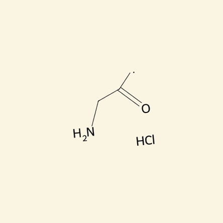 Cl.[CH2]C(=O)CN